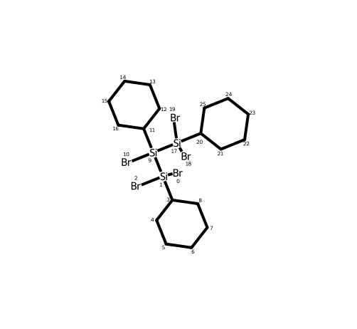 Br[Si](Br)(C1CCCCC1)[Si](Br)(C1CCCCC1)[Si](Br)(Br)C1CCCCC1